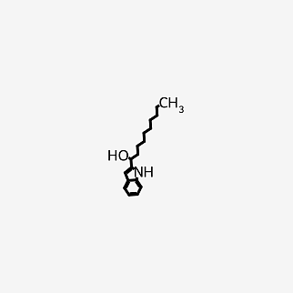 CCCCCCCCCC(O)c1cc2ccccc2[nH]1